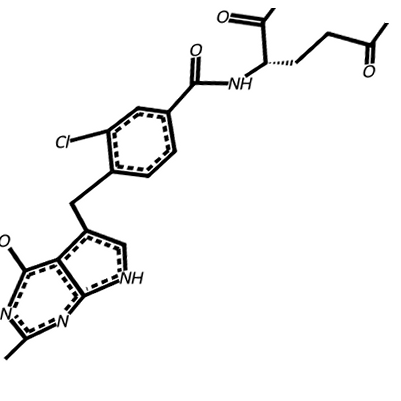 Cc1nc(O)c2c(Cc3ccc(C(=O)N[C@@H](CCC(=O)O)C(=O)O)cc3Cl)c[nH]c2n1